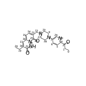 CCC(=O)c1ccc(N2CCN(Cc3ccc4cc(CC)c(=O)[nH]n4c3=O)CC2)cn1